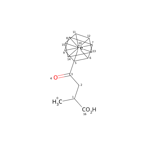 CC(CC(=O)[C]12[CH]3[CH]4[CH]5[CH]1[Fe]45321678[CH]2[CH]1[CH]6[CH]7[CH]28)C(=O)O